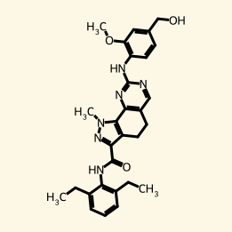 CCc1cccc(CC)c1NC(=O)c1nn(C)c2c1CCc1cnc(Nc3ccc(CO)cc3OC)nc1-2